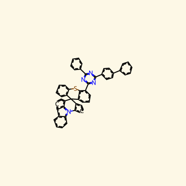 c1ccc(-c2ccc(-c3nc(-c4ccccc4)nc(-c4cccc5c4Sc4ccccc4C54c5ccccc5-n5c6ccccc6c6cccc4c65)n3)cc2)cc1